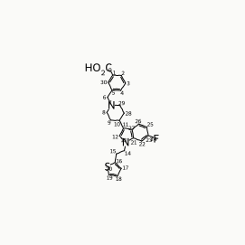 O=C(O)c1cccc(CN2CCC(c3cn(CCc4cccs4)c4cc(F)ccc34)CC2)c1